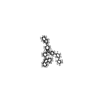 c1ccc(-c2cccc(-c3ccc(N(c4ccc(-c5ccc6ccccc6c5)cc4)c4cccc(-c5cc6ccccc6c6ccccc56)c4)cc3)c2)cc1